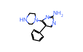 Nc1ncc(-c2ccccc2)c(N2CCNCC2)n1